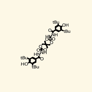 CC(C)(C)c1cc(C(=O)NNP2(=O)OCC3(CO2)COP(=O)(NNC(=O)c2cc(C(C)(C)C)c(O)c(C(C)(C)C)c2)OC3)cc(C(C)(C)C)c1O